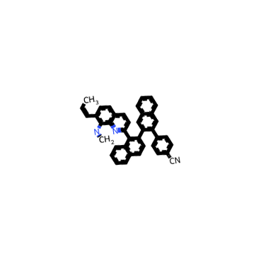 C=Nc1c(/C=C\C)ccc2ccc(-c3c(-c4cc5ccccc5cc4-c4ccc(C#N)cc4)ccc4ccccc34)nc12